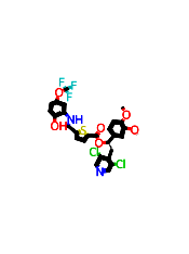 COc1ccc([C@H](Cc2c(Cl)cncc2Cl)OC(=O)c2ccc(CNc3cc(OC(F)(F)F)ccc3O)s2)cc1OC